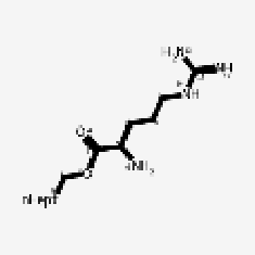 CCCCCCCCOC(=O)C(N)CCCNC(=N)N